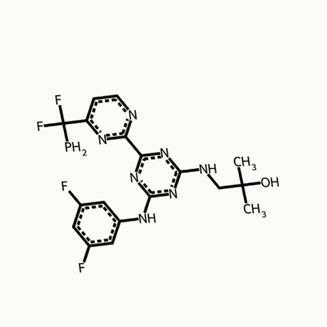 CC(C)(O)CNc1nc(Nc2cc(F)cc(F)c2)nc(-c2nccc(C(F)(F)P)n2)n1